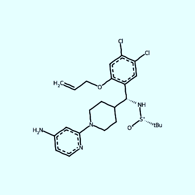 C=CCOc1cc(Cl)c(Cl)cc1[C@H](N[S@@+]([O-])C(C)(C)C)C1CCN(c2cc(N)ccn2)CC1